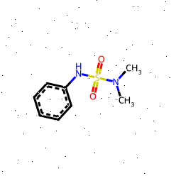 CN(C)S(=O)(=O)Nc1cc[c]cc1